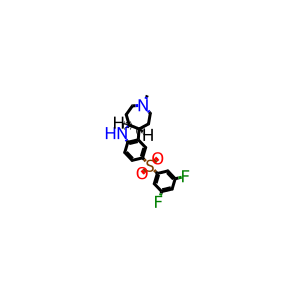 CN1CC[C@@H]2Nc3ccc(S(=O)(=O)c4cc(F)cc(F)c4)cc3[C@H]2CC1